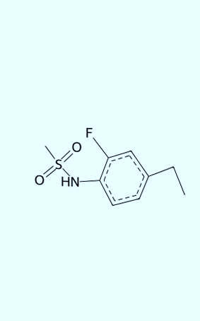 CCc1ccc(NS(C)(=O)=O)c(F)c1